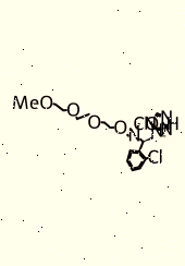 COCCOCCOCCOCN(C(=O)O)[C@@H](Cn1ncnn1)c1ccccc1Cl